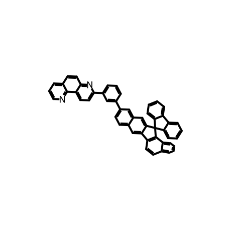 c1cc(-c2ccc3cc4c(cc3c2)C2(c3ccccc3-c3ccccc32)c2c-4ccc3ccccc23)cc(-c2ccc3c(ccc4cccnc43)n2)c1